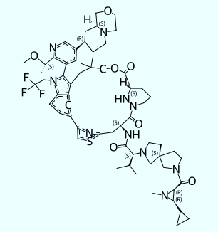 CO[C@@H](C)c1ncc([C@@H]2CCN3CCOC[C@@H]3C2)cc1-c1c2c3cc(ccc3n1CC(F)(F)F)-c1csc(n1)C[C@H](NC(=O)[C@H](C(C)C)N1CC[C@]3(CCN(C(=O)[C@H]4[C@@H](C5CC5)N4C)C3)C1)C(=O)N1CCC[C@H](N1)C(=O)OCC(C)(C)C2